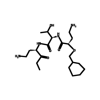 CCC(=O)[C@H](CCN)NC(=O)[C@@H](NC(=O)[C@H](CCN)OCC1CCCCC1)C(C)O